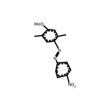 COc1cc(C)c(/N=N/c2ccc([N+](=O)[O-])cc2)cc1C